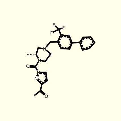 CC(=O)c1ccn(C(=O)N2CCN(Cc3ccc(-c4ccccc4)cc3C(F)(F)F)C[C@H]2C)n1